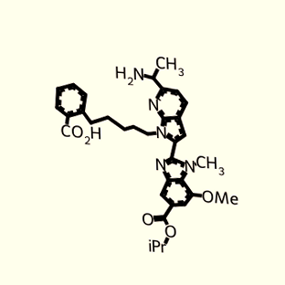 COc1cc(C(=O)OC(C)C)cc2nc(-c3cc4ccc(C(C)N)nc4n3CCCCCc3ccccc3C(=O)O)n(C)c12